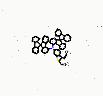 C=Cc1sc2cc(N(c3cccc4c3-c3ccccc3C43c4ccccc4-c4ccccc43)c3cccc4c3-c3ccccc3C43c4ccccc4-c4ccccc43)ccc2c1/C=C\C